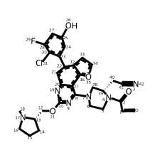 C=CC(=O)N1CCN(c2nc(OC[C@@H]3CCCN3C)nc3cc(-c4cc(O)cc(F)c4Cl)c4ccoc4c23)C[C@@H]1CC#N